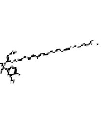 CCCCCCCCCCCCCCCCCCOCC(CO)N(C)C(=O)c1ccc(F)c(Cl)c1